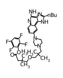 CCCCc1nc2c(N)nc3ccc(N4CCN(CC(C)(C)COCC(C)(C)CC(=O)Oc5c(F)c(F)cc(F)c5F)CC4)cc3c2[nH]1